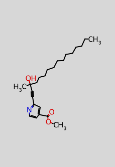 CCCCCCCCCCCCCC(C)(O)C#Cc1cc(C(=O)OC)ccn1